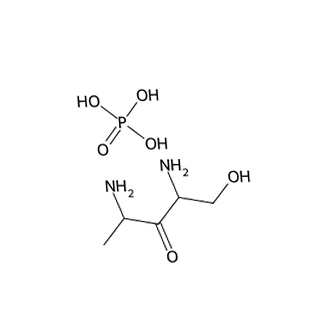 CC(N)C(=O)C(N)CO.O=P(O)(O)O